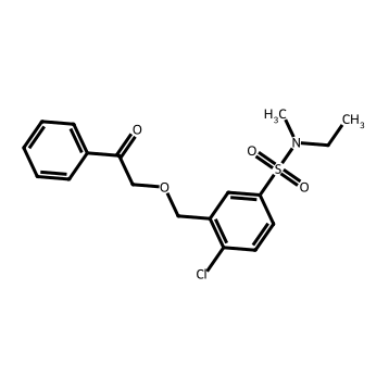 CCN(C)S(=O)(=O)c1ccc(Cl)c(COCC(=O)c2ccccc2)c1